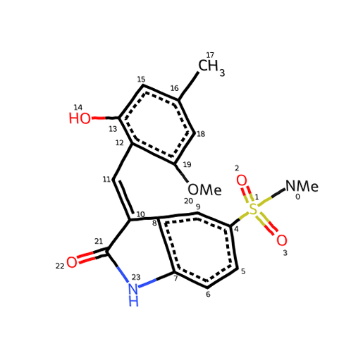 CNS(=O)(=O)c1ccc2c(c1)C(=Cc1c(O)cc(C)cc1OC)C(=O)N2